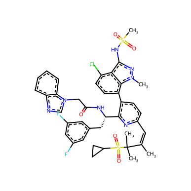 CC(=Cc1ccc(-c2ccc(Cl)c3c(NS(C)(=O)=O)nn(C)c23)c([C@H](Cc2cc(F)cc(F)c2)NC(=O)Cn2cnc3ccccc32)n1)C(C)(C)S(=O)(=O)C1CC1